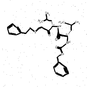 CC(C)C[C@H](NC(=O)[C@H](CC(C)C)NC(=O)OCc1ccccc1)C(=O)CSCCc1ccccc1